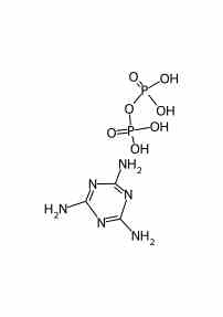 Nc1nc(N)nc(N)n1.O=P(O)(O)OP(=O)(O)O